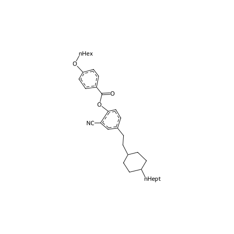 CCCCCCCC1CCC(CCc2ccc(OC(=O)c3ccc(OCCCCCC)cc3)c(C#N)c2)CC1